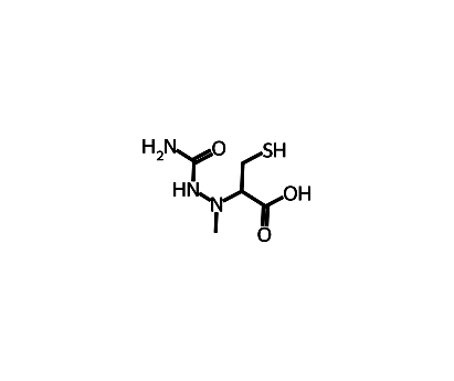 CN(NC(N)=O)C(CS)C(=O)O